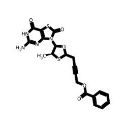 C[C@@H]1SC(CC#CCOC(=O)c2ccccc2)OC1n1c(=O)sc2c(=O)[nH]c(N)nc21